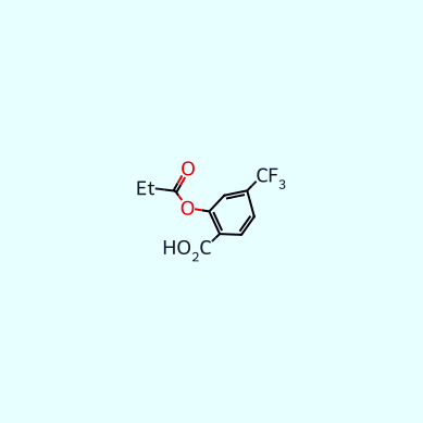 CCC(=O)Oc1cc(C(F)(F)F)ccc1C(=O)O